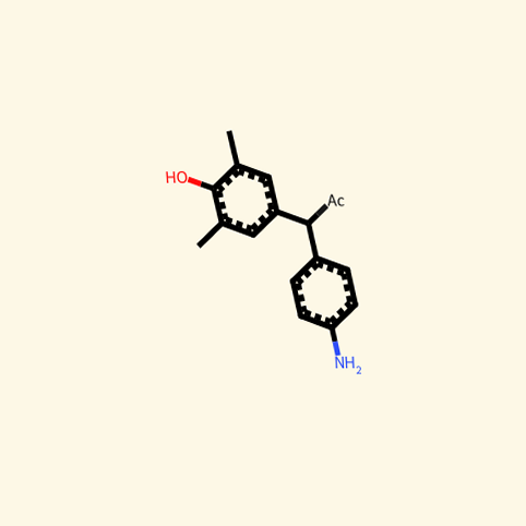 CC(=O)C(c1ccc(N)cc1)c1cc(C)c(O)c(C)c1